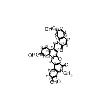 Cn1c(=O)cc(Cn2c(=O)cc(Cn3c(=O)ccc4ncc(C=O)nc43)c3ccc(C=O)nc32)c2ncc(C=O)cc21